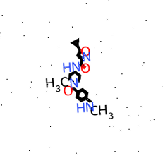 CNCc1ccc(C(=O)N2CC[C@@H](NC(=O)c3cc(C4CC4)on3)C[C@H]2C)cc1